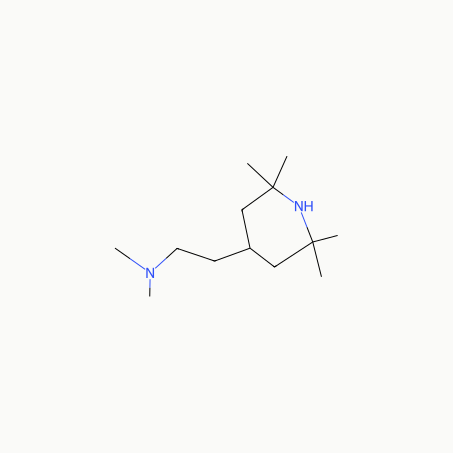 CN(C)CCC1CC(C)(C)NC(C)(C)C1